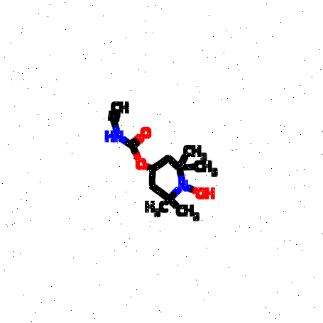 C#CNC(=O)OC1CC(C)(C)N(O)C(C)(C)C1